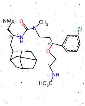 CNC[C@H](CC1C2CC3CC(C2)CC1C3)NC(=O)N(C)CC[C@@H](OCCNC(=O)O)c1cccc(Cl)c1